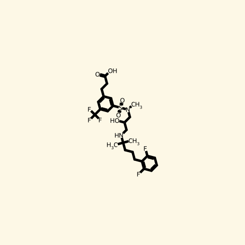 CN(CC(O)CNC(C)(C)CCCc1c(F)cccc1F)S(=O)(=O)c1cc(CCC(=O)O)cc(C(F)(F)F)c1